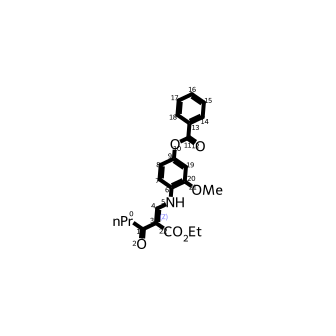 CCCC(=O)/C(=C/Nc1ccc(OC(=O)c2ccccc2)cc1OC)C(=O)OCC